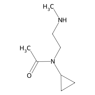 CNCCN(C(C)=O)C1CC1